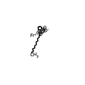 CCCCCCCCCCCCOS(=O)(=O)c1ccccc1S(=O)(=O)[O-].[Fr+]